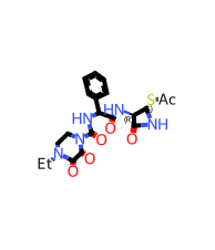 CCN1CCN(C(=O)NC(C(=O)N[C@@H]2C(=O)N[C@H]2SC(C)=O)c2ccccc2)C(=O)C1=O